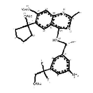 COCC(F)(F)c1cc(N)cc([C@@H](C)Nc2nc(C)nc3cc(OC)c(C4(OC)CCCC4)cc23)c1